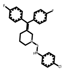 Fc1ccc(C(=C2CCCN(SNc3ccc(Cl)cc3)C2)c2ccc(F)cc2)cc1